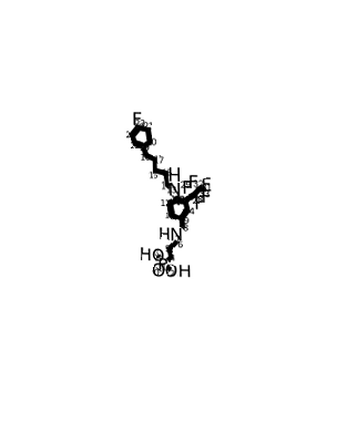 O=P(O)(O)CCCNCc1ccc(NCCCCCc2ccc(F)cc2)c(C(F)(F)C(F)(F)F)c1